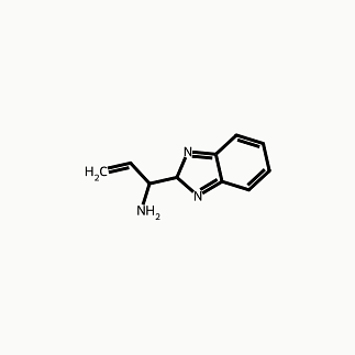 C=CC(N)[C]1N=c2ccccc2=N1